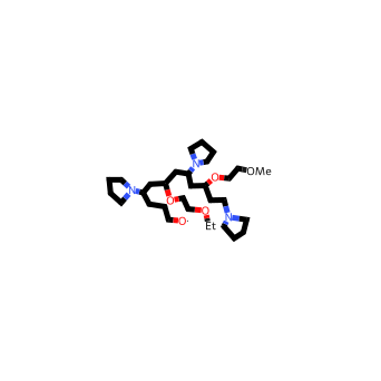 CCOCCOC(CC(CCC[O])N1CCCC1)CC(CC(CCN1CCCC1)OCCOC)N1CCCC1